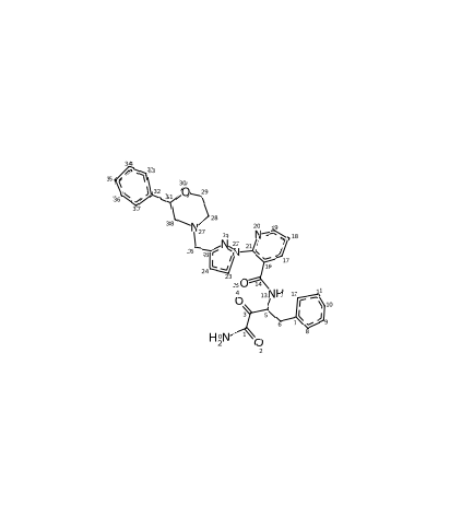 NC(=O)C(=O)C(Cc1ccccc1)NC(=O)c1cccnc1-n1ccc(CN2CCOC(c3ccccc3)C2)n1